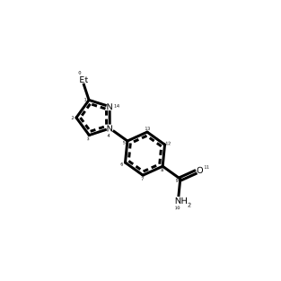 CCc1ccn(-c2ccc(C(N)=O)cc2)n1